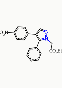 CCOC(=O)Cn1ncc(-c2ccc([N+](=O)[O-])cc2)c1-c1ccccc1